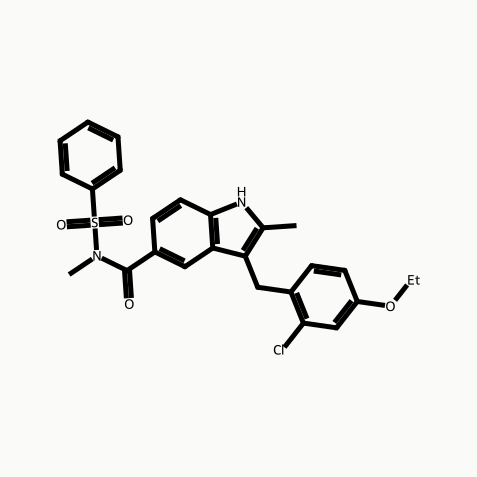 CCOc1ccc(Cc2c(C)[nH]c3ccc(C(=O)N(C)S(=O)(=O)c4ccccc4)cc23)c(Cl)c1